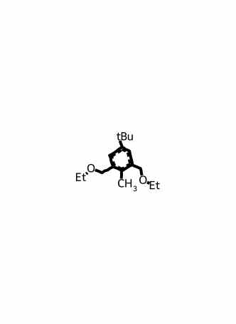 CCOCc1cc(C(C)(C)C)cc(COCC)c1C